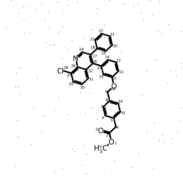 COC(=O)Cc1ccc(COc2cccc(-c3c(-c4ccccc4)cnc4c(Cl)cccc34)c2)cc1